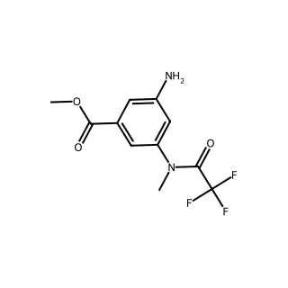 COC(=O)c1cc(N)cc(N(C)C(=O)C(F)(F)F)c1